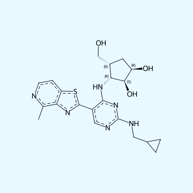 Cc1nccc2sc(-c3cnc(NCC4CC4)nc3N[C@@H]3[C@H](CO)C[C@@H](O)[C@H]3O)nc12